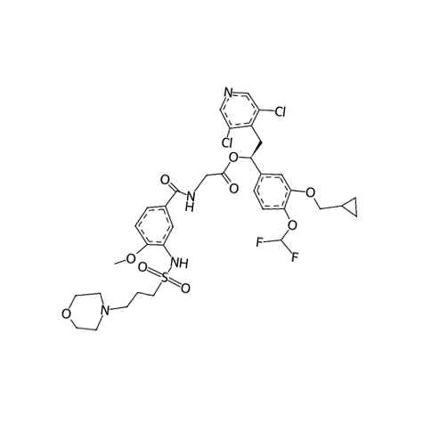 COc1ccc(C(=O)NCC(=O)O[C@@H](Cc2c(Cl)cncc2Cl)c2ccc(OC(F)F)c(OCC3CC3)c2)cc1NS(=O)(=O)CCCN1CCOCC1